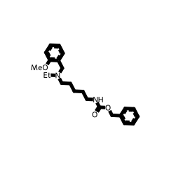 CCN(CCCCCNC(=O)OCc1ccccc1)Cc1ccccc1OC